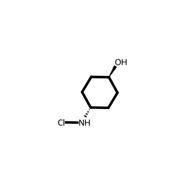 O[C@H]1CC[C@H](NCl)CC1